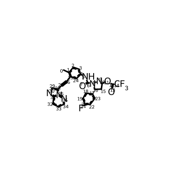 Cc1ccc(NC(=O)N2N=C(OC(=O)C(F)(F)F)C[C@@H]2c2ccc(F)cc2)cc1C#Cc1cnc2cccnn12